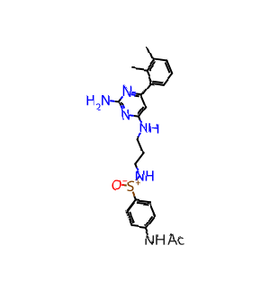 CC(=O)Nc1ccc([S+]([O-])NCCCNc2cc(-c3cccc(C)c3C)nc(N)n2)cc1